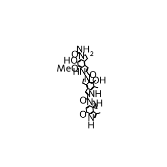 COc1c(O)c2c(c3cc(C(=O)N4CCc5c4c(O)c(C)c4[nH]c(C(=O)N6C[C@H]7CC78C6=CC(=O)c6[nH]cc(C)c68)cc54)[nH]c13)CCN2C(N)=O